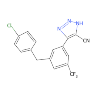 N#Cc1[nH]nnc1-c1cc(Cc2ccc(Cl)cc2)cc(C(F)(F)F)c1